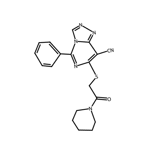 N#Cc1c(SCC(=O)N2CCCCC2)nc(-c2ccccc2)n2cnnc12